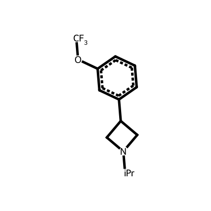 CC(C)N1CC(c2cccc(OC(F)(F)F)c2)C1